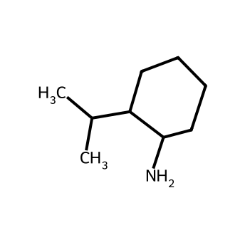 CC(C)C1CCCCC1N